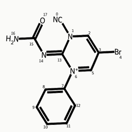 N#Cn1cc(Br)c[n+](-c2ccccc2)/c1=N/C(N)=O